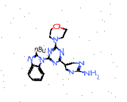 CCCCc1nc2ccccc2n1-c1nc(-c2cnc(N)nc2)nc(N2CCOCC2)n1